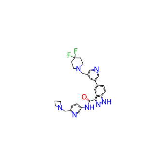 O=C(Nc1ccc(CN2CCC2)nc1)c1n[nH]c2ccc(-c3cncc(CN4CCC(F)(F)CC4)c3)cc12